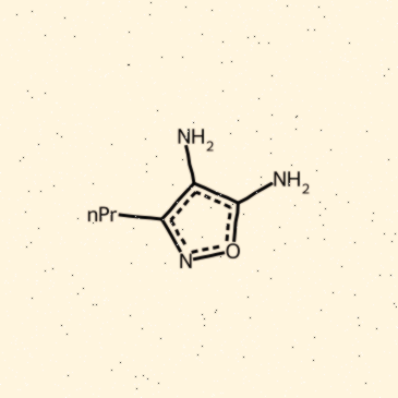 CCCc1noc(N)c1N